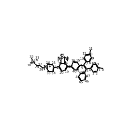 Cc1ccc(/C(=C(\c2ccc(C)cc2)c2ccc(-c3ccc(-c4cc[n+](CCC[N+](C)(C)C)cc4)c4nsnc34)cc2)c2ccccc2)cc1